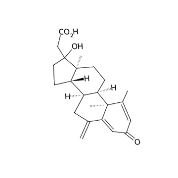 C=C1C[C@@H]2[C@@H](CC[C@@]3(C)[C@H]2CCC3(O)CC(=O)O)[C@@]2(C)C(C)=CC(=O)C=C12